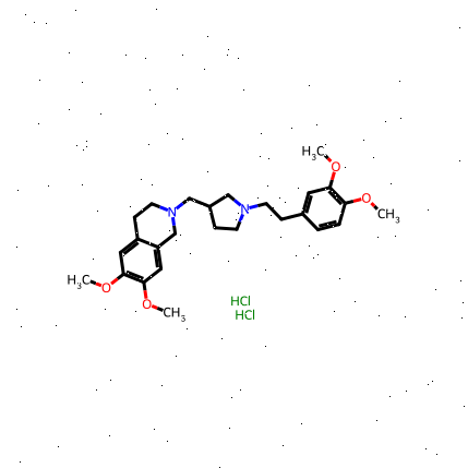 COc1ccc(CCN2CCC(CN3CCc4cc(OC)c(OC)cc4C3)C2)cc1OC.Cl.Cl